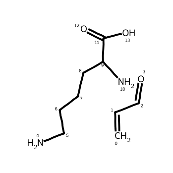 C=CC=O.NCCCCC(N)C(=O)O